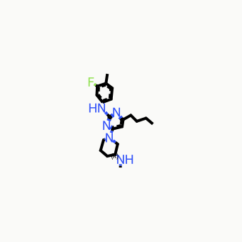 CCCCc1cc(N2CCC[C@@H](NC)C2)nc(Nc2ccc(C)c(F)c2)n1